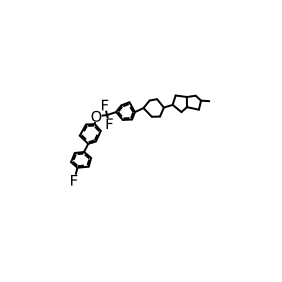 CC1CC2CC(C3CCC(c4ccc(C(F)(F)Oc5ccc(-c6ccc(F)cc6)cc5)cc4)CC3)CC2C1